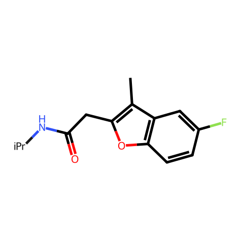 Cc1c(CC(=O)NC(C)C)oc2ccc(F)cc12